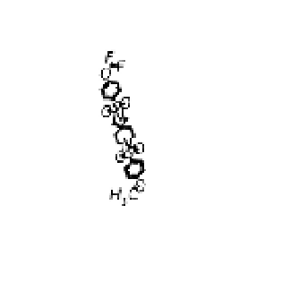 COc1ccc(S(=O)(=O)N2CCC3(CC2)CN(S(=O)(=O)c2ccc(OC(F)F)cc2)C3)cc1